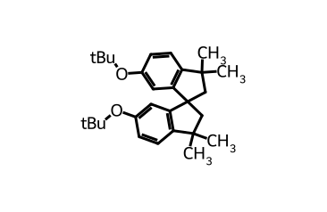 CC(C)(C)Oc1ccc2c(c1)C1(CC2(C)C)CC(C)(C)c2ccc(OC(C)(C)C)cc21